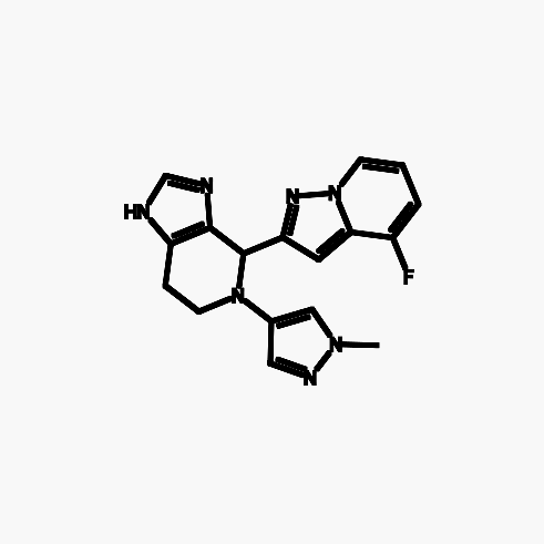 Cn1cc(N2CCc3[nH]cnc3C2c2cc3c(F)cccn3n2)cn1